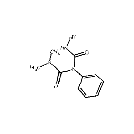 CCCNC(=O)N(C(=O)N(C)C)c1ccccc1